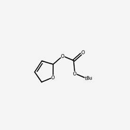 CC(C)(C)OC(=O)OC1C=CCO1